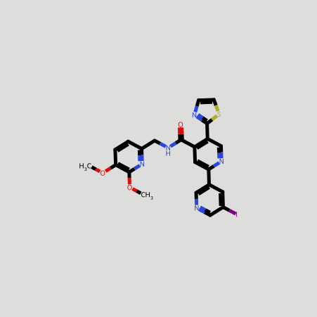 COc1ccc(CNC(=O)c2cc(-c3cncc(I)c3)ncc2-c2nccs2)nc1OC